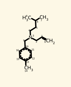 C=CCN(CCC(C)C)Cc1ccc(C)cc1